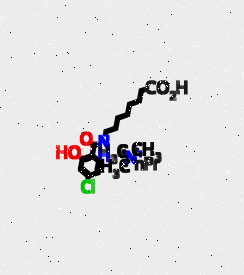 CCC[N+](C)(C)C.O=C(O)CCCCCCCNC(=O)c1ccc(Cl)cc1O